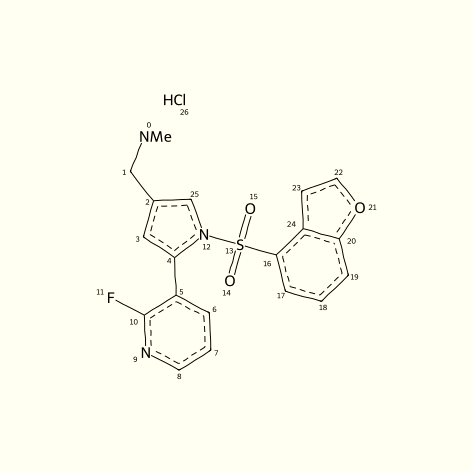 CNCc1cc(-c2cccnc2F)n(S(=O)(=O)c2cccc3occc23)c1.Cl